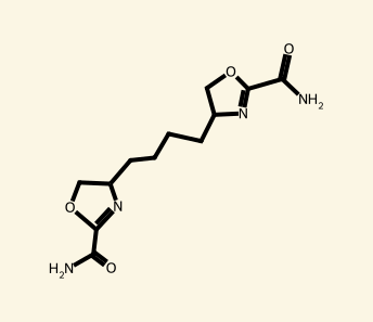 NC(=O)C1=NC(CCCCC2COC(C(N)=O)=N2)CO1